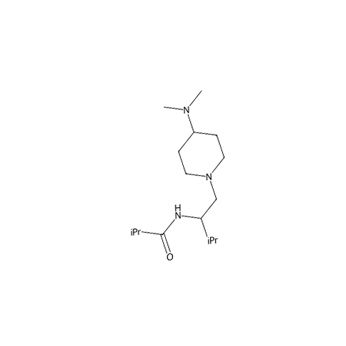 CC(C)C(=O)NC(CN1CCC(N(C)C)CC1)C(C)C